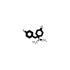 CN(C)C1(Cc2ccc(F)cc2)CCC(=O)CC1